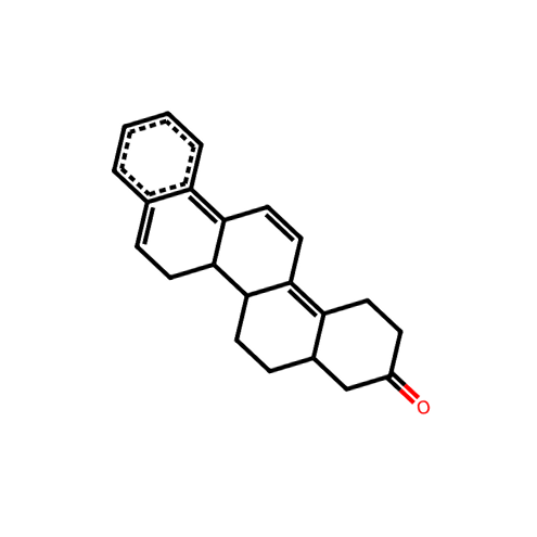 O=C1CCC2=C3C=CC4=c5ccccc5=CCC4C3CCC2C1